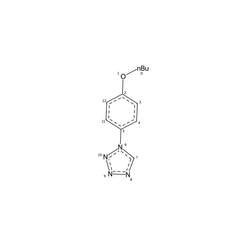 CCCCOc1ccc(-n2cnnn2)cc1